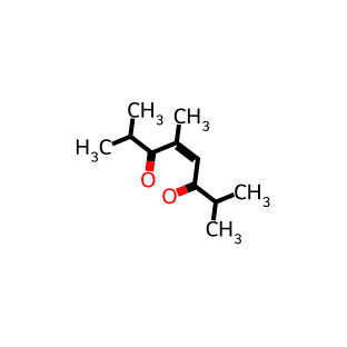 C/C(=C/C(=O)C(C)C)C(=O)C(C)C